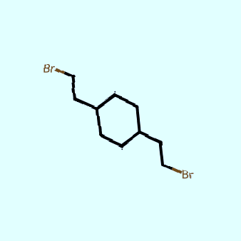 BrCCC1[CH]CC(CCBr)[CH]C1